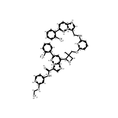 CC1(COc2cccc(NCc3cnc4ccc(-c5ccccc5C(F)(F)F)nn34)n2)COC1c1cc(-c2ccccc2C(F)(F)F)nn2c(C(=O)Nc3ccnc(OCC(F)(F)F)c3)cnc12